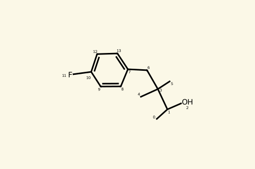 CC(O)C(C)(C)Cc1ccc(F)cc1